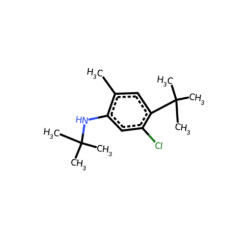 Cc1cc(C(C)(C)C)c(Cl)cc1NC(C)(C)C